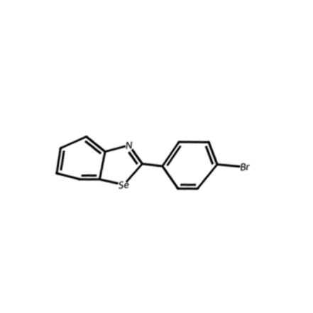 Brc1ccc(-c2nc3ccccc3[se]2)cc1